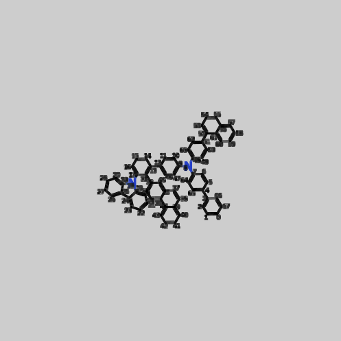 c1ccc(-c2ccc(N(c3ccc(-c4cccc(-n5c6ccccc6c6ccccc65)c4-c4ccc5c(ccc6ccccc65)c4)cc3)c3ccc(-c4cccc5ccccc45)cc3)cc2)cc1